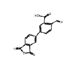 O=Cc1ccc(-c2ccc3c(c2)C(=O)OC3=O)cc1C(=O)O